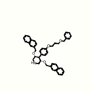 c1ccc(COCCCOc2ccc(C3[C@@H](OCc4ccc5ccccc5c4)CNC[C@H]3OCc3ccc4ccccc4c3)cc2)cc1